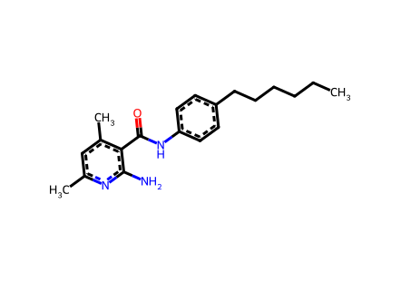 CCCCCCc1ccc(NC(=O)c2c(C)cc(C)nc2N)cc1